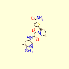 Cc1cc(NC(=O)C(=O)N2C[C@@H](C)CC[C@@H]2c2ccc(C(N)=O)s2)cnc1N